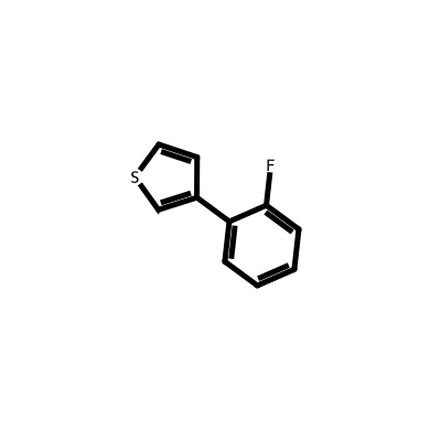 Fc1ccccc1-c1[c]scc1